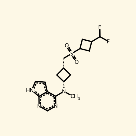 CN(c1ncnc2[nH]ccc12)[C@H]1C[C@@H](CS(=O)(=O)C2CC(C(F)F)C2)C1